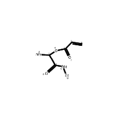 C=CC(=O)OC(CCC)C(=O)NCC